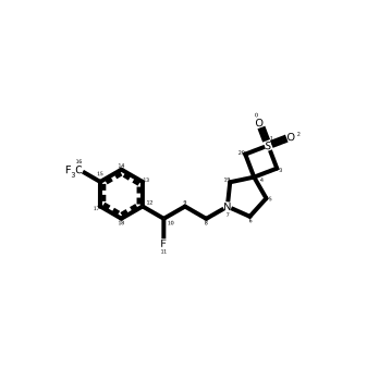 O=S1(=O)CC2(CCN(CCC(F)c3ccc(C(F)(F)F)cc3)C2)C1